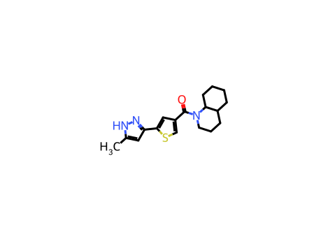 Cc1cc(-c2cc(C(=O)N3CCCC4CCCCC43)cs2)n[nH]1